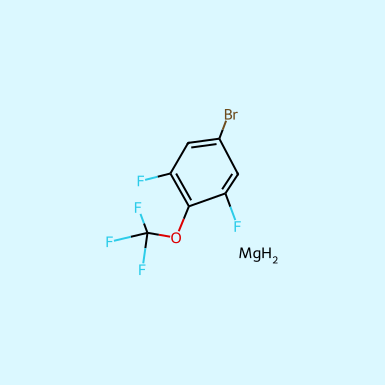 Fc1cc(Br)cc(F)c1OC(F)(F)F.[MgH2]